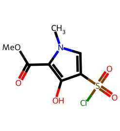 COC(=O)c1c(O)c(S(=O)(=O)Cl)cn1C